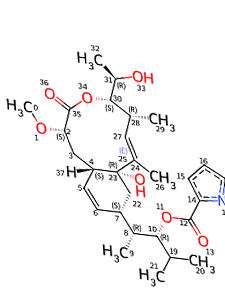 CO[C@H]1C[C@H]2C=C[C@@H]([C@@H](C)[C@H](OC(=O)c3ccc[nH]3)C(C)C)C[C@]2(O)/C(C)=C/[C@@H](C)[C@@H]([C@@H](C)O)OC1=O